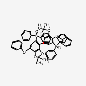 CC1(C)Oc2c(-c3c(P(=O)(c4ccccc4)c4ccccc4)cc(Oc4ccccc4)c4c3OC(C)(C)O4)cc(P(=O)(c3ccccc3)c3ccccc3)c(Oc3ccccc3)c2O1